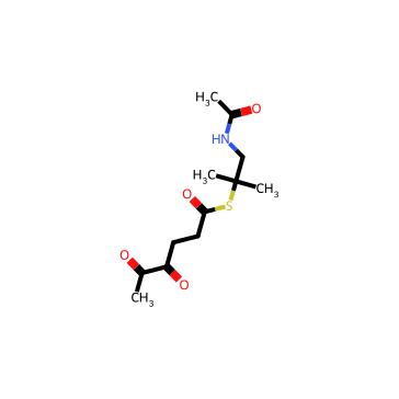 CC(=O)NCC(C)(C)SC(=O)CCC(=O)C(C)=O